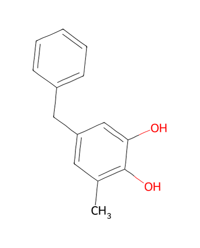 Cc1cc(Cc2ccccc2)cc(O)c1O